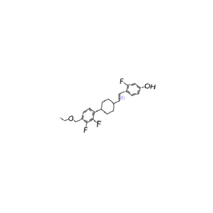 CCOCc1ccc(C2CCC(/C=C/c3ccc(O)cc3F)CC2)c(F)c1F